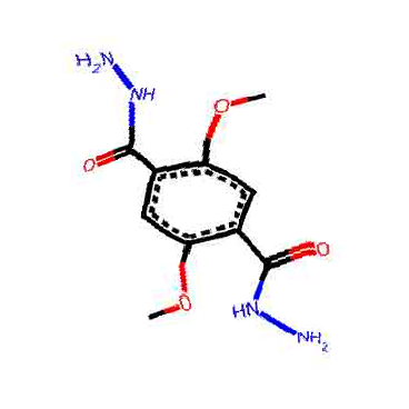 COc1cc(C(=O)NN)c(OC)cc1C(=O)NN